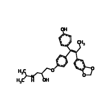 CC/C(=C(\c1ccc(O)cc1)c1ccc(OCC(O)CNC(C)C)cc1)c1ccc2c(c1)OCO2